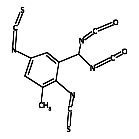 Cc1cc(N=C=S)cc(C(N=C=O)N=C=O)c1N=C=S